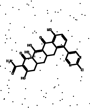 NC(=O)C1=C(O)CC2CC3Cc4c(-c5cnc(Cl)nc5)ccc(O)c4C(=O)C3=C(O)[C@]2(O)C1=O